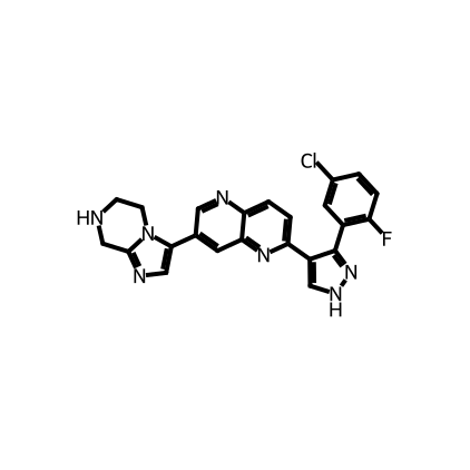 Fc1ccc(Cl)cc1-c1n[nH]cc1-c1ccc2ncc(-c3cnc4n3CCNC4)cc2n1